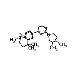 C[C@H]1CN(c2cccc(-c3ccc4c(c3)C(C)(C)CCC4(C)C)c2)CCN1C